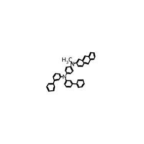 CN(c1ccc(N(c2cccc(-c3ccccc3)c2)c2cccc(-c3ccccc3)c2)cc1)c1ccc2cc3ccccc3cc2c1